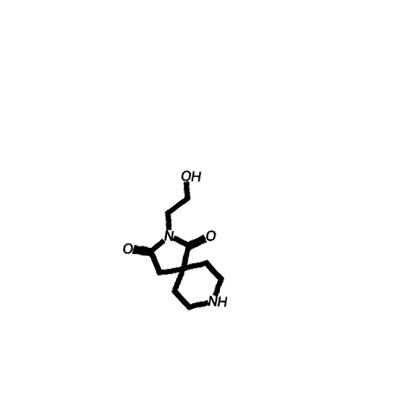 O=C1CC2(CCNCC2)C(=O)N1CCO